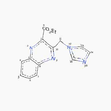 CCOC(=O)c1nc2ccccc2nc1Cn1ccnc1